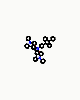 c1ccc(-c2c3ccccc3c(-c3ccc(-n4c5ccc(-c6ccccc6N(c6ccccc6)c6ccccc6)cc5c5cc(-c6ccccc6N(c6ccccc6)c6ccccc6)ccc54)cc3)c3ccccc23)cc1